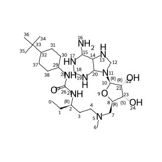 CC[C@H](CCN(C)C[C@H]1O[C@@H](N2CNC3C(N)NCNC32)[C@H](O)[C@@H]1O)NC(=O)NC1CCC(C(C)(C)C)CC1